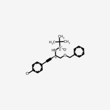 CC(C)(C)[S@+]([O-])N[C@H](C#Cc1ccc(Cl)cc1)COCc1ccccc1